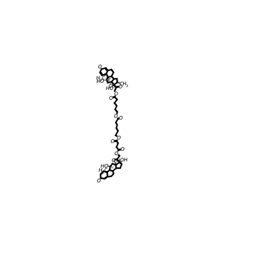 C[C@@H]1CC2C3CCC4=CC(=O)C=C[C@]4(C)[C@@]3(F)[C@@H](O)C[C@]2(C)[C@@]1(O)C(=O)COC(=O)CCCCCOC(=O)CCCCCOC(=O)CCC(=O)OCC(=O)[C@@]1(O)CCC2C3CCC4=CC(=O)C=C[C@]4(C)C3[C@@H](O)C[C@@]21C